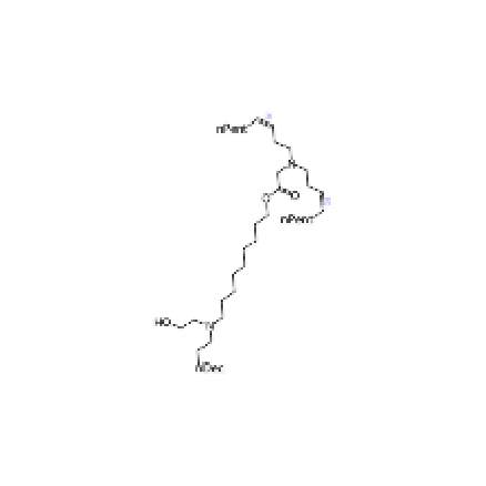 CCCCC/C=C\CCN(CC/C=C\CCCCC)CC(=O)OCCCCCCCCCN(CCO)CCCCCCCCCCCC